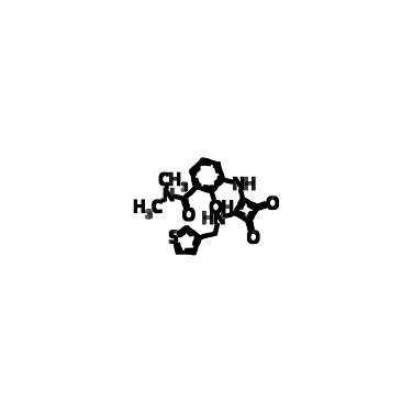 CN(C)C(=O)c1cccc(Nc2c(NCc3ccsc3)c(=O)c2=O)c1O